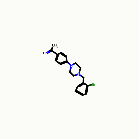 CC(=N)c1ccc(N2CCN(Cc3ccccc3Br)CC2)cc1